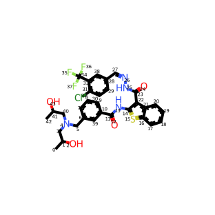 CC(O)CN(Cc1cccc(C(=O)Nc2sc3ccccc3c2C(=O)N/N=C\c2ccc(Cl)c(C(F)(F)F)c2)c1)CC(C)O